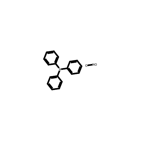 O=[NH+][O-].c1ccc(N(c2ccccc2)c2ccccc2)cc1